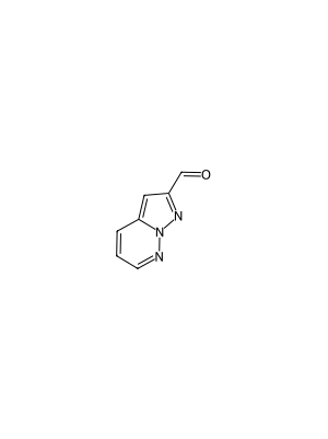 O=Cc1cc2cccnn2n1